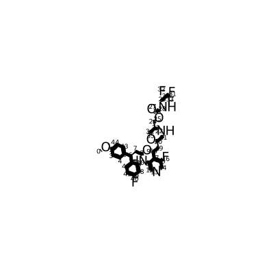 COc1ccc([C@@H](CC(=O)Nc2cncc(F)c2CC[C@@H]2CN[C@H](COC(=O)NCC(F)(F)F)CO2)c2ccc(F)cc2)cc1